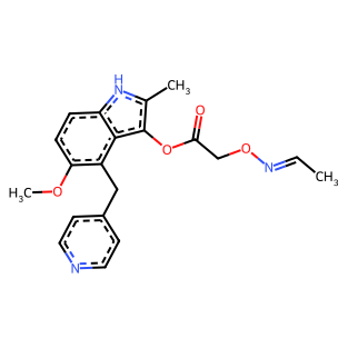 CC=NOCC(=O)Oc1c(C)[nH]c2ccc(OC)c(Cc3ccncc3)c12